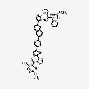 COC(=O)N[C@H](C(=O)C1CCSC1c1ncc(-c2ccc(-c3ccc4cc(-c5cnc([C@@H]6CCCN6C(=O)[C@H](NC(=O)OC)c6ccccc6)[nH]5)ccc4c3)cc2)[nH]1)C(C)C